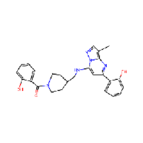 Cc1cnn2c(NCC3CCN(C(=O)c4ccccc4O)CC3)cc(-c3ccccc3O)nc12